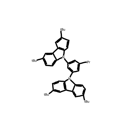 CC(C)c1cc(-n2c3ccc(C(C)(C)C)cc3c3cc(C(C)(C)C)ccc32)cc(-n2c3ccc(C(C)(C)C)cc3c3cc(C(C)(C)C)ccc32)c1